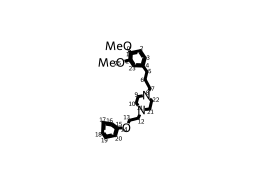 COc1ccc(CCCN2CCN(CCOc3ccccc3)CC2)cc1OC